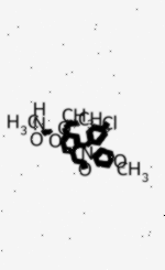 CC[C@@H](C)Oc1cc2c(cc1OCC(=O)NC)CC(=O)N(c1ccc(OC)cc1)C2c1ccc(Cl)cc1